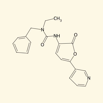 CCN(Cc1ccccc1)C(=O)Nc1ccc(-c2cccnc2)oc1=O